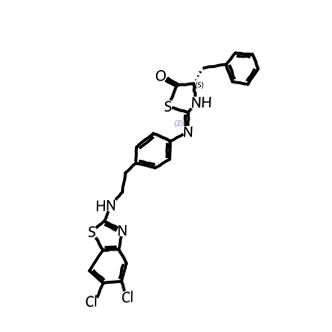 O=C1S/C(=N\c2ccc(CCNc3nc4cc(Cl)c(Cl)cc4s3)cc2)N[C@H]1Cc1ccccc1